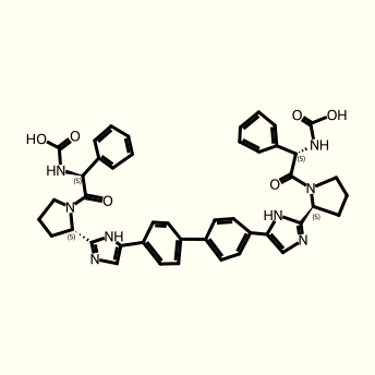 O=C(O)N[C@H](C(=O)N1CCC[C@H]1c1ncc(-c2ccc(-c3ccc(-c4cnc([C@@H]5CCCN5C(=O)[C@@H](NC(=O)O)c5ccccc5)[nH]4)cc3)cc2)[nH]1)c1ccccc1